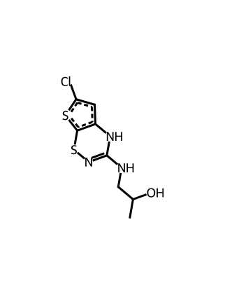 CC(O)CNC1=NSc2sc(Cl)cc2N1